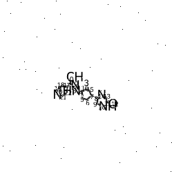 CC(=NNc1ccc(-c2c[nH]c(=O)cn2)cc1)c1ccncc1